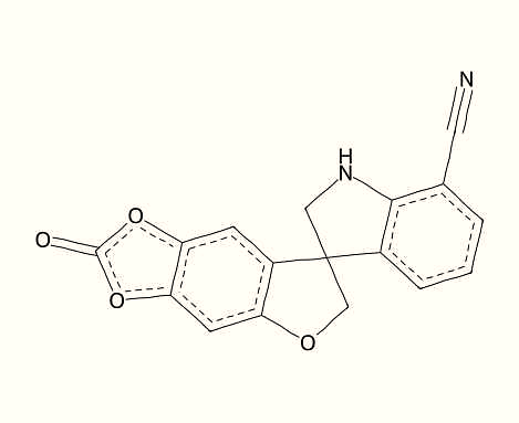 N#Cc1cccc2c1NCC21COc2cc3oc(=O)oc3cc21